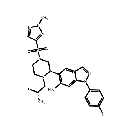 Cc1cc2c(cnn2-c2ccc(F)cc2)cc1[C@@H]1CN(S(=O)(=O)c2cnn(C)n2)CCN1C[C@H](C)F